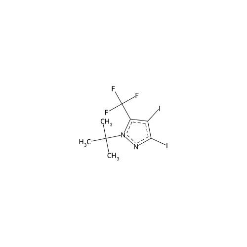 CC(C)(C)n1nc(I)c(I)c1C(F)(F)F